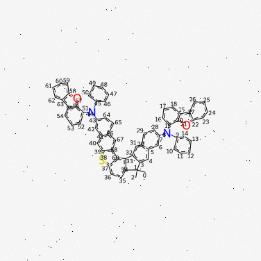 CC1(C)c2cc3cc(N(c4ccccc4)c4cccc5c4oc4ccccc45)ccc3cc2-c2c1ccc1sc3cc4cc(N(c5ccccc5)c5cccc6c5oc5ccccc56)ccc4cc3c21